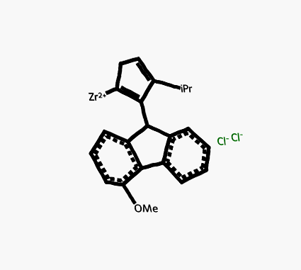 COc1cccc2c1-c1ccccc1C2C1=[C]([Zr+2])CC=C1C(C)C.[Cl-].[Cl-]